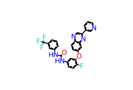 O=C(Nc1cccc(C(F)(F)F)c1)Nc1ccc(F)c(Oc2ccc3ncc(-c4cccnc4)nc3c2)c1